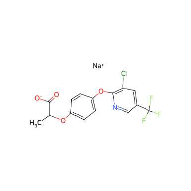 CC(Oc1ccc(Oc2ncc(C(F)(F)F)cc2Cl)cc1)C(=O)[O-].[Na+]